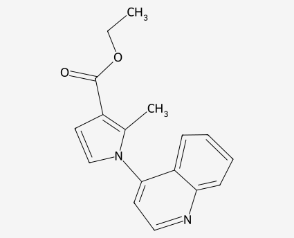 CCOC(=O)c1ccn(-c2ccnc3ccccc23)c1C